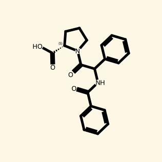 O=C(NC(C(=O)N1CCC[C@H]1C(=O)O)c1ccccc1)c1ccccc1